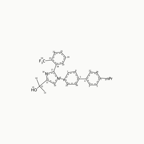 CCCc1ccc(-c2ccc(-n3cc(C(C)(C)O)nc3-c3ccccc3C(F)(F)F)cc2)cc1